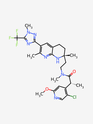 COc1cc([C@@H](C)C(=O)N(C)CC[C@@]2(C)CCc3cc(-c4nc(C(F)(F)F)n(C)n4)c(C)nc3N2)c(Cl)cn1